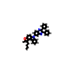 C=CCCc1c(C)oc2ccc3c(c4ccccc4n3-c3ccc4nc(-c5ccccc5)c(-c5ccccc5)nc4c3)c12